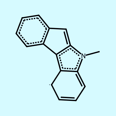 Cn1c2c(c3c1=Cc1ccccc1-3)[CH]C=CC=2